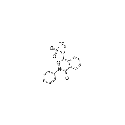 O=c1c2ccccc2c(OS(=O)(=O)C(F)(F)F)nn1-c1ccccc1